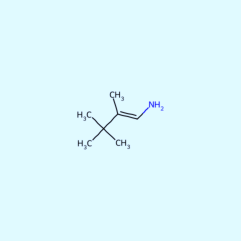 C/C(=C\N)C(C)(C)C